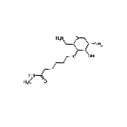 CNC(=O)CCCCCOC1C(CN)OCC(N)C1O